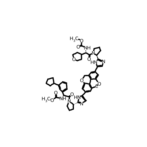 COC(=O)N[C@H](C(=O)N1CCC[C@H]1c1ncc(-c2cc3c4c(c2)OCc2cc(-c5cnc([C@@H]6CCCN6C(=O)[C@H](NC(=O)OC)c6cccc(C7CCCC7)c6)[nH]5)cc(c2-4)OC3)[nH]1)C1CCOCC1